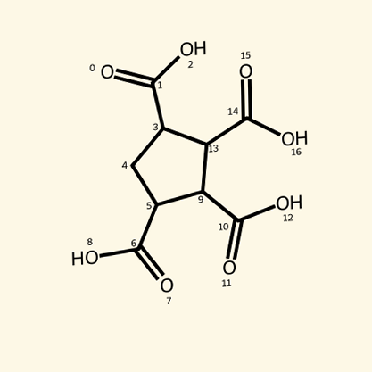 O=C(O)C1CC(C(=O)O)C(C(=O)O)C1C(=O)O